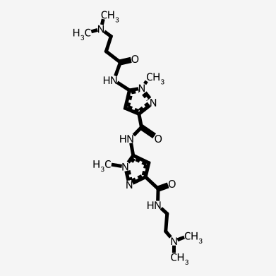 CN(C)CCNC(=O)c1cc(NC(=O)c2cc(NC(=O)CCN(C)C)n(C)n2)n(C)n1